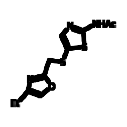 CCc1coc(CSc2cnc(NC(C)=O)s2)n1